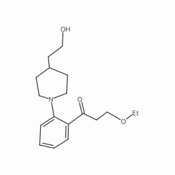 CCOCCC(=O)c1ccccc1N1CCC(CCO)CC1